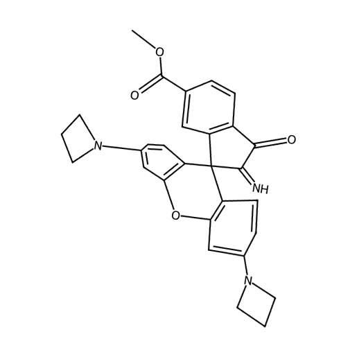 COC(=O)c1ccc2c(c1)C1(C(=N)C2=O)c2ccc(N3CCC3)cc2Oc2cc(N3CCC3)ccc21